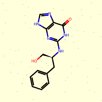 O=c1[nH]c(N[C@H](CO)Cc2ccccc2)nc2[nH]cnc12